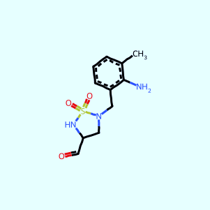 Cc1cccc(CN2CC(C=O)NS2(=O)=O)c1N